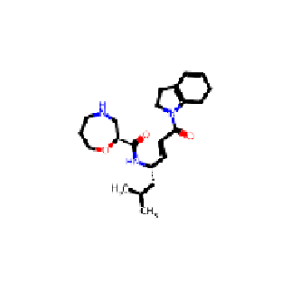 CC(C)C[C@@H](/C=C/C(=O)N1CCC2=C1CCC=C2)NC(=O)[C@@H]1CNCCCO1